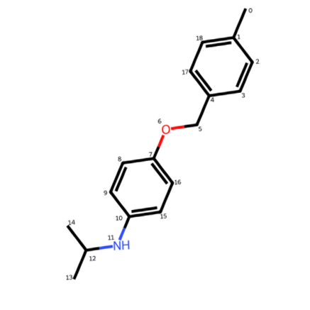 Cc1ccc(COc2ccc(NC(C)C)cc2)cc1